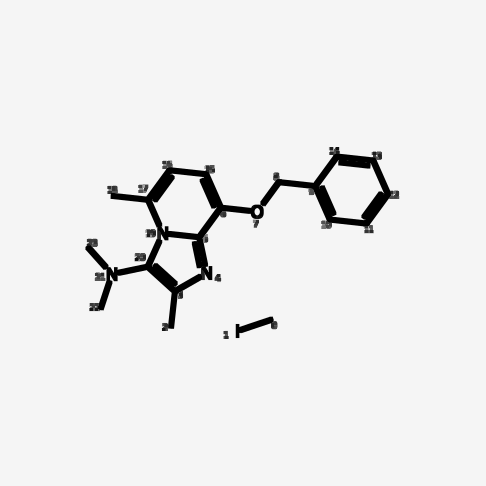 CI.Cc1nc2c(OCc3ccccc3)ccc(C)n2c1N(C)C